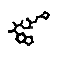 CC(C(=O)c1ccc2c(c1)OCO2)N(C)CNC(=O)CCN1CCC1